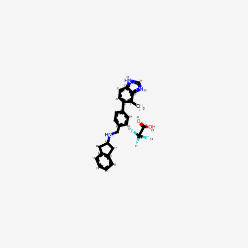 Cc1c(-c2ccc(CNC3Cc4ccccc4C3)cc2)ccc2[nH]cnc12.O=C(O)C(F)(F)F